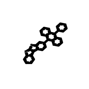 c1ccc(-c2c3ccccc3c(-c3ccc4c(c3)sc3sc5ccccc5c34)c3ccccc23)cc1